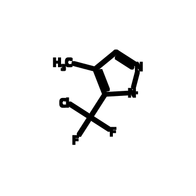 CC1=C(C(F)(F)Cl)[N]N=C1